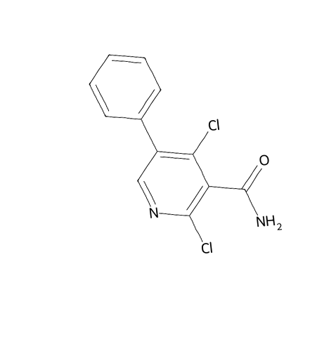 NC(=O)c1c(Cl)ncc(-c2ccccc2)c1Cl